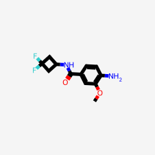 COc1cc(C(=O)NC2CC(F)(F)C2)ccc1N